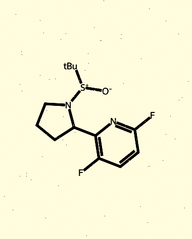 CC(C)(C)[S+]([O-])N1CCCC1c1nc(F)ccc1F